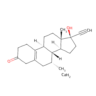 C#C[C@]1(O)CC[C@H]2[C@@H]3[C@H](C)CC4=C(CCC(=O)C4)[C@H]3CC[C@@]21C.[CaH2]